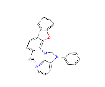 Cc1ccc2c(oc3ccccc32)c1N1CN(c2ccccc2)c2cccnc21